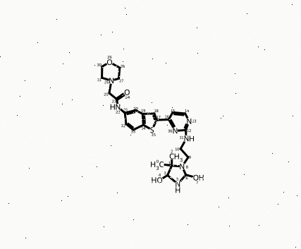 CC1(C)C(O)NC(O)N1CCNc1nccc(-c2cc3cc(NC(=O)CN4CCOCC4)ccc3s2)n1